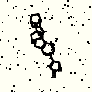 CC(C)CC(=O)N1C2CCC1C(CN1CCc3cc(-c4cn[nH]c4)ccc31)C2